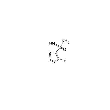 N=S(N)(=O)c1sccc1F